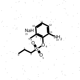 CCCS(=O)(=O)Oc1c(C)cccc1N.[NaH]